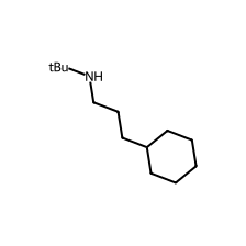 CC(C)(C)NCCCC1CCCCC1